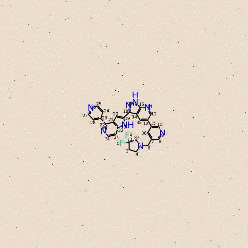 FC1(F)CCN(Cc2cncc(-c3cnc4[nH]nc(-c5cc6c(-c7ccncc7)nccc6[nH]5)c4c3)c2)C1